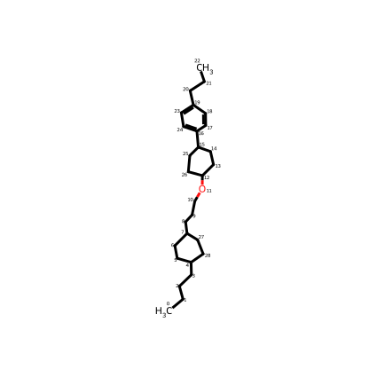 CCCCC1CCC(CCCOC2CCC(c3ccc(CCC)cc3)CC2)CC1